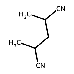 CC(C#N)CC(C)C#N